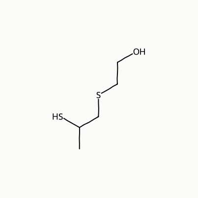 CC(S)CSCCO